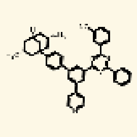 C[C@@H]1C[C@@H]2C[C@H](C)CC(c3ccc(-c4cc(-c5ccncc5)cc(-c5nc(-c6ccccc6)nc(-c6cccc(C#N)c6)n5)c4)cc3)(C1)C2